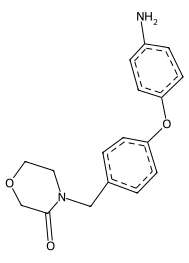 Nc1ccc(Oc2ccc(CN3CCOCC3=O)cc2)cc1